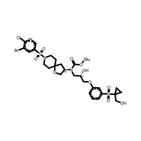 CC(C)(C)OC(=O)N(C[C@H](O)COc1cccc(S(=O)(=O)C2(CO)CC2)c1)[C@H]1COC2(CCN(S(=O)(=O)c3cnc(Cl)c(Br)c3)CC2)C1